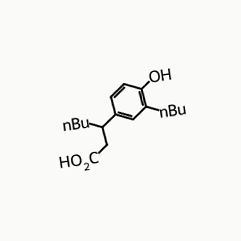 CCCCc1cc(C(CCCC)CC(=O)O)ccc1O